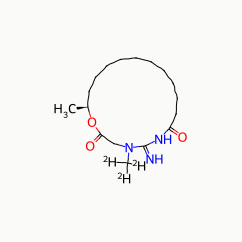 [2H]C([2H])([2H])N1CC(=O)O[C@@H](C)CCCCCCCCCCC(=O)NC1=N